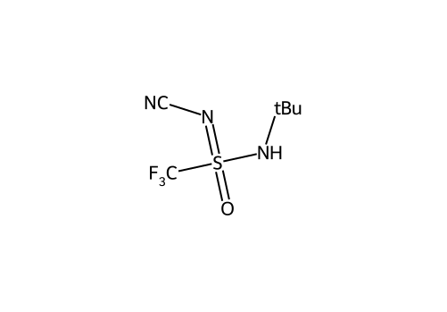 CC(C)(C)NS(=O)(=NC#N)C(F)(F)F